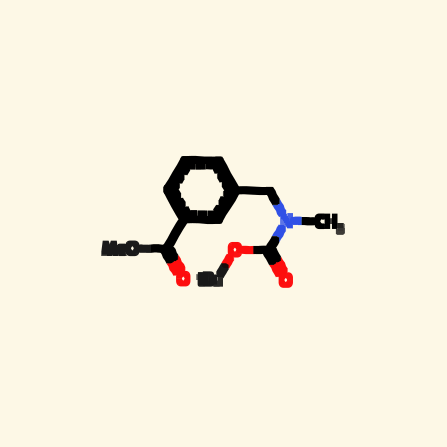 COC(=O)c1cccc(CN(C)C(=O)OC(C)(C)C)c1